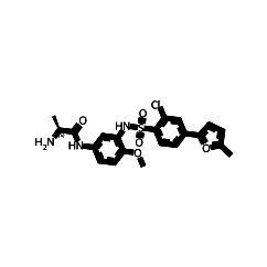 COc1ccc(NC(=O)[C@H](C)N)cc1NS(=O)(=O)c1ccc(-c2ccc(C)o2)cc1Cl